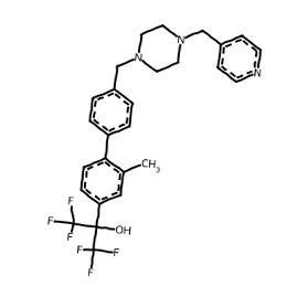 Cc1cc(C(O)(C(F)(F)F)C(F)(F)F)ccc1-c1ccc(CN2CCN(Cc3ccncc3)CC2)cc1